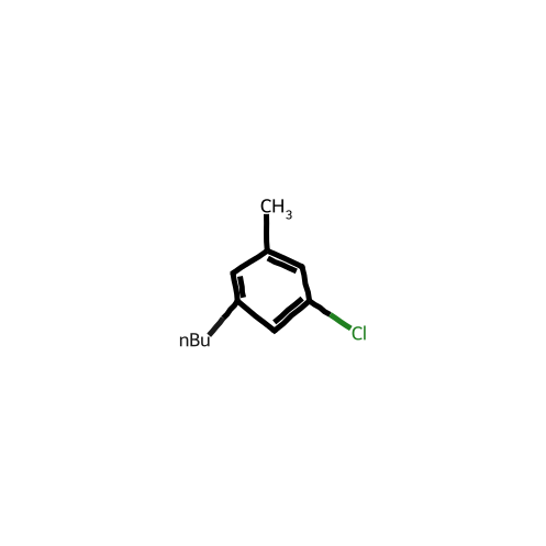 CCCCc1cc(C)cc(Cl)c1